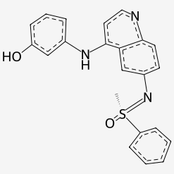 C[S@](=O)(=Nc1ccc2nccc(Nc3cccc(O)c3)c2c1)c1ccccc1